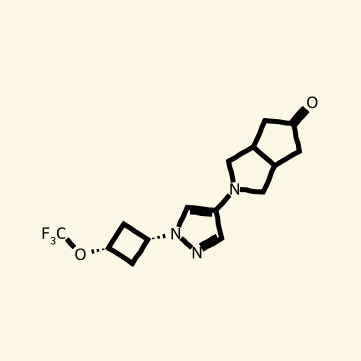 O=C1CC2CN(c3cnn([C@H]4C[C@@H](OC(F)(F)F)C4)c3)CC2C1